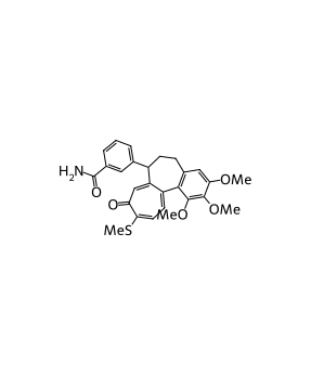 COc1cc2c(c(OC)c1OC)-c1ccc(SC)c(=O)cc1C(c1cccc(C(N)=O)c1)CC2